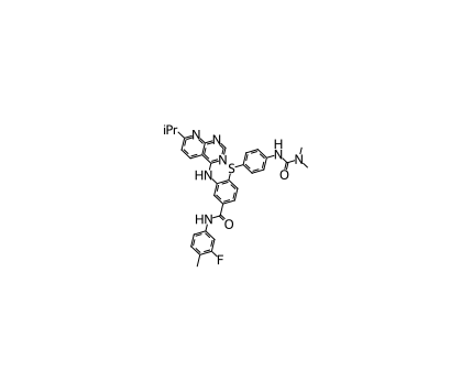 Cc1ccc(NC(=O)c2ccc(Sc3ccc(NC(=O)N(C)C)cc3)c(Nc3ncnc4nc(C(C)C)ccc34)c2)cc1F